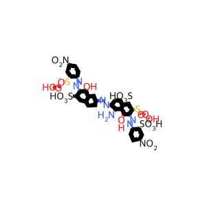 Nc1c(N=Nc2ccc3cc(S(=O)(=O)O)c(N=Nc4ccc([N+](=O)[O-])cc4SOOO)c(O)c3c2)c(S(=O)(=O)O)cc2cc(SOOO)c(N=Nc3ccc([N+](=O)[O-])cc3S(=O)(=O)O)c(O)c12